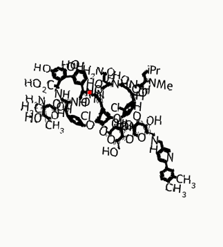 CN[C@H](CC(C)C)C(=O)NC1C(=O)N[C@@H](CC(N)=O)C(=O)N[C@H]2C(=O)N[C@H]3C(=O)N[C@H](C(=O)NC(C(=O)O)c4cc(O)cc(O)c4-c4cc3ccc4O)[C@H](O[C@H]3C[C@](C)(N)[C@@H](O)[C@H](C)O3)c3ccc(c(Cl)c3)Oc3cc2cc(c3O[C@@H]2O[C@H](CO)[C@@H](O[C@@H]3O[C@H](CNCc4ccc(-c5ccc(C)c(C)c5)nc4)[C@H](O)[C@H](O)[C@H]3O)[C@H](O)[C@H]2O)Oc2ccc(cc2Cl)[C@H]1O